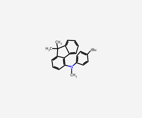 CN(c1ccc(C(C)(C)C)cc1)c1cccc2c1-c1ccccc1C2(C)C